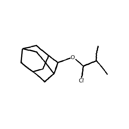 CC(C)C(Cl)OC1C2CC3CC(C2)CC1C3